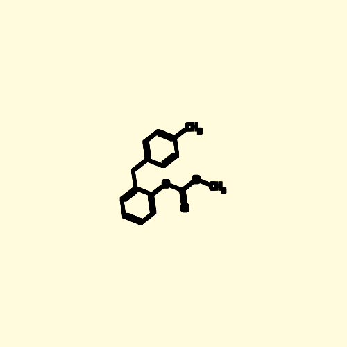 COC(=O)Oc1ccccc1Cc1ccc(C)cc1